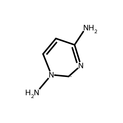 NC1=N[CH]N(N)C=C1